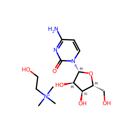 C[N+](C)(C)CCO.Nc1ccn([C@@H]2O[C@H](CO)[C@@H](O)[C@H]2O)c(=O)n1